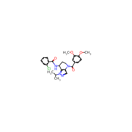 COc1ccc(C(=O)N2CCC(NC(=O)c3ccccc3Cl)c3c2cnn3C(C)C)cc1OC